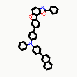 c1ccc(-c2nc3ccc4oc5cc(-c6ccc(N(c7ccccc7)c7ccc(-c8ccc9ccccc9c8)cc7)cc6)ccc5c4c3o2)cc1